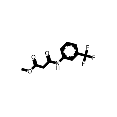 COC(=O)CC(=O)Nc1cccc(C(F)(F)F)c1